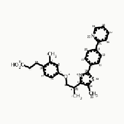 Cc1cc(OC[C@H](C)c2nc(-c3ccc(-c4ccccn4)cc3)sc2C)ccc1CCC(=O)O